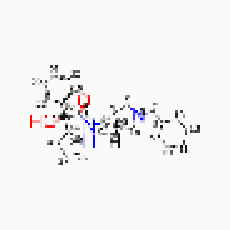 O=C(N[C@H]1C2CN(CC3CCCCC3)C[C@@H]21)C(O)(c1ccccc1)C1CCCC1